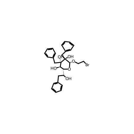 OC(Cc1ccccc1)[C@H]1O[C@@H](OCCBr)[C@@](O)(Cc2ccccc2)[C@](O)(Cc2ccccc2)[C@@H]1O